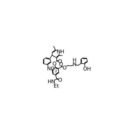 CCNC(=O)c1ccc(OC(=O)C2=C(C)NC(C)=CC2c2cccc([N+](=O)[O-])c2)c(C(=O)OCCNCc2ccccc2O)c1